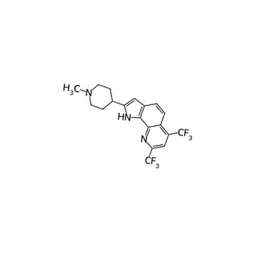 CN1CCC(c2cc3ccc4c(C(F)(F)F)cc(C(F)(F)F)nc4c3[nH]2)CC1